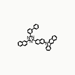 c1ccc(-c2cccc(-c3nc(-c4ccc5ccccc5c4)nc(-c4ccc5cc(-n6c7ccccc7c7cc8ccccc8cc76)ccc5c4)n3)c2)cc1